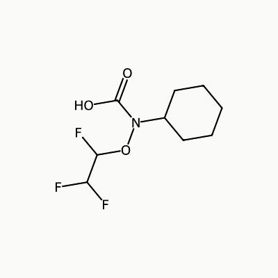 O=C(O)N(OC(F)C(F)F)C1CCCCC1